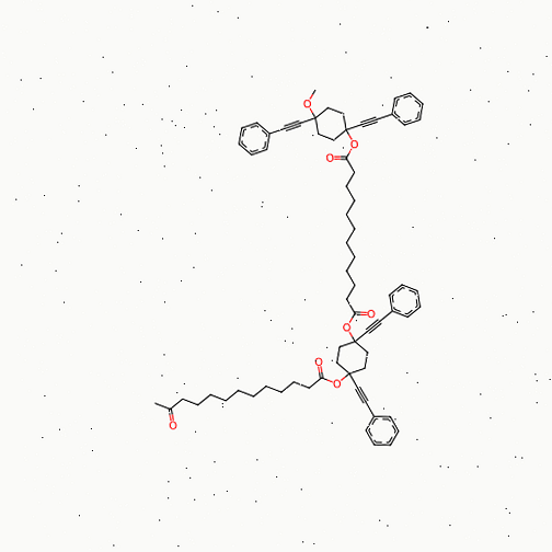 COC1(C#Cc2ccccc2)CCC(C#Cc2ccccc2)(OC(=O)CCCCCCCCCCC(=O)OC2(C#Cc3ccccc3)CCC(C#Cc3ccccc3)(OC(=O)CCCCCCCCCCC(C)=O)CC2)CC1